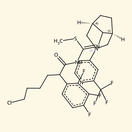 CS/C(=N\C1[C@@H]2CC[C@H]1CN(c1ccnc(C(F)(F)F)c1)C2)NC(=O)C(CCCCCl)c1ccc(F)c(F)c1F